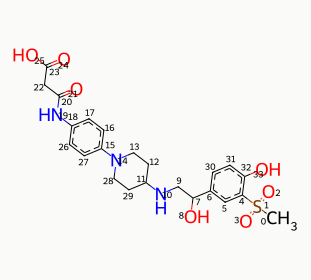 CS(=O)(=O)c1cc(C(O)CNC2CCN(c3ccc(NC(=O)CC(=O)O)cc3)CC2)ccc1O